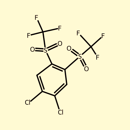 O=S(=O)(c1cc(Cl)c(Cl)cc1S(=O)(=O)C(F)(F)F)C(F)(F)F